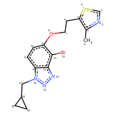 Cc1ncsc1CCOc1ccc2c(nnn2CC2CC2)c1Br